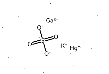 O=S(=O)([O-])[O-].[Ga+3].[Hg+].[K+]